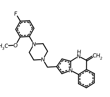 C=C1Nc2cc(CN3CCN(c4ccc(F)cc4OC)CC3)cn2-c2ccccc21